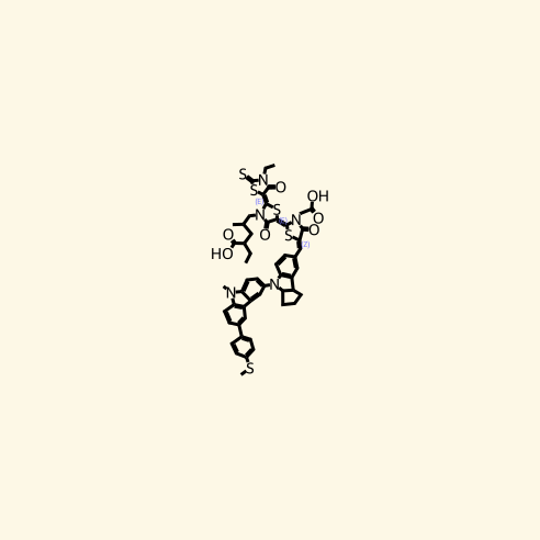 CCC(CC(C)Cn1c(=O)/c(=c2\s/c(=C\c3ccc4c(c3)C3CCCC3N4c3ccc4c(c3)c3cc(-c5ccc(SC)cc5)ccc3n4C)c(=O)n2CC(=O)O)s/c1=C1/SC(=S)N(CC)C1=O)C(=O)O